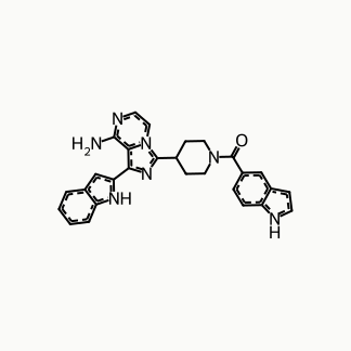 Nc1nccn2c(C3CCN(C(=O)c4ccc5[nH]ccc5c4)CC3)nc(-c3cc4ccccc4[nH]3)c12